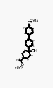 CCCCOc1ccc(-c2ccc(C3(O)CCC(C(=O)OCCC)CC3)cc2)cc1